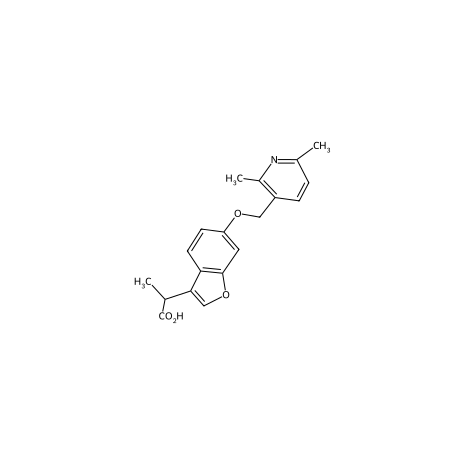 Cc1ccc(COc2ccc3c(C(C)C(=O)O)coc3c2)c(C)n1